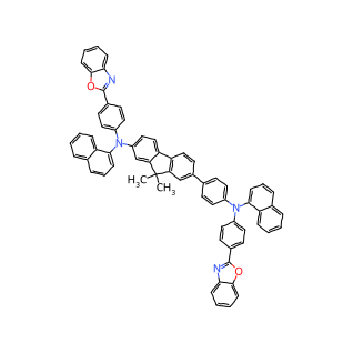 CC1(C)c2cc(-c3ccc(N(c4ccc(-c5nc6ccccc6o5)cc4)c4cccc5ccccc45)cc3)ccc2-c2ccc(N(c3ccc(-c4nc5ccccc5o4)cc3)c3cccc4ccccc34)cc21